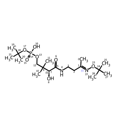 C/C(CCNC(=O)[C@@H](O)C(C)(C)COP(=O)(O)OC(C)(C)C)=N\OC(C)(C)C